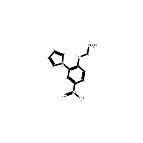 O=C(O)COc1ccc([N+](=O)O)cc1-n1cccc1